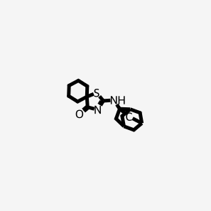 O=C1N=C(NC23CC4CC(CC2C4)C3)SC12CCCCC2